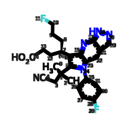 CC(C)(CC#N)c1c([C@H](CCCF)CCC(=O)O)c2nc3[nH]ncc3cc2n1-c1ccc(F)cc1